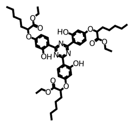 CCCCCC(Oc1ccc(-c2nc(-c3ccc(OC(CCCCC)C(=O)OCC)cc3O)nc(-c3ccc(OC(CCCCC)C(=O)OCC)cc3O)n2)c(O)c1)C(=O)OCC